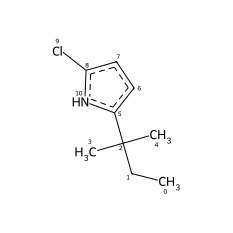 CCC(C)(C)c1ccc(Cl)[nH]1